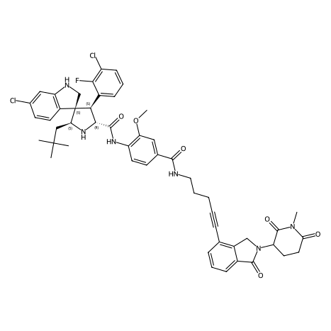 COc1cc(C(=O)NCCCC#Cc2cccc3c2CN(C2CCC(=O)N(C)C2=O)C3=O)ccc1NC(=O)[C@@H]1N[C@@H](CC(C)(C)C)[C@@]2(CNc3cc(Cl)ccc32)[C@H]1c1cccc(Cl)c1F